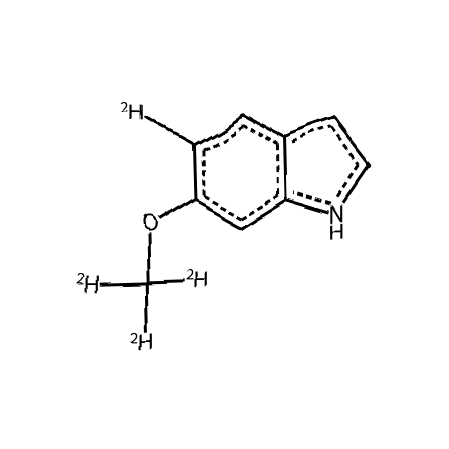 [2H]c1cc2cc[nH]c2cc1OC([2H])([2H])[2H]